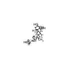 C[C@H](CCC(=O)NCCS(=O)(=O)O)[C@H]1CCC2C3C[C@@H](O)[C@@]4(O)C[C@@H](O)CC[C@]4(C)C3CC[C@@]21C